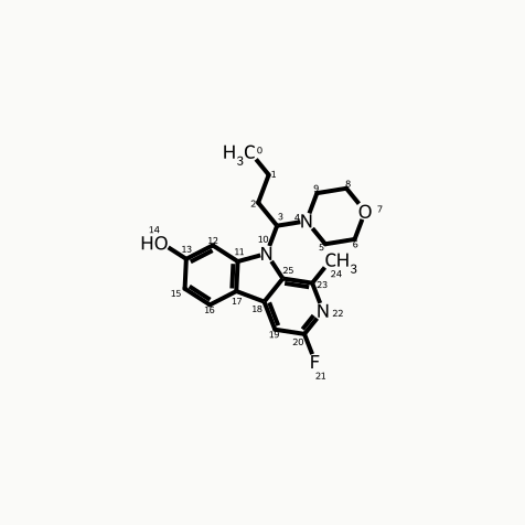 CCCC(N1CCOCC1)n1c2cc(O)ccc2c2cc(F)nc(C)c21